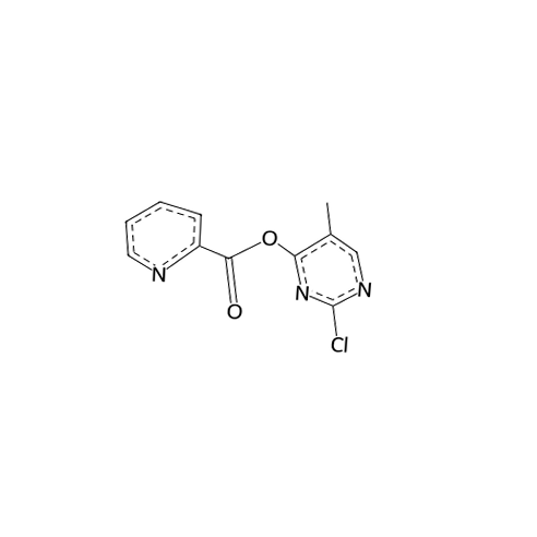 Cc1cnc(Cl)nc1OC(=O)c1ccccn1